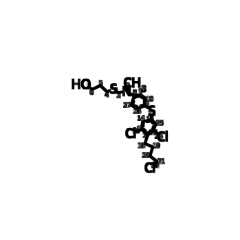 CN(CSCCCO)c1ccc(Sc2cc(Cl)c(CCCCCl)c(Cl)c2)cc1